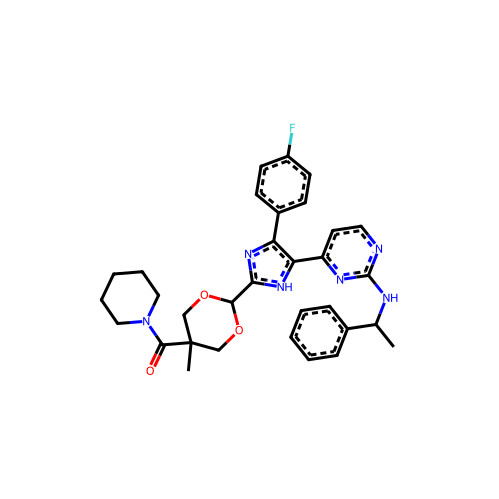 CC(Nc1nccc(-c2[nH]c(C3OCC(C)(C(=O)N4CCCCC4)CO3)nc2-c2ccc(F)cc2)n1)c1ccccc1